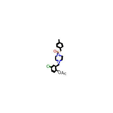 CC(=O)Oc1ccc(Cl)cc1CN1CCN([S+]([O-])Cc2ccc(C)cc2)CC1